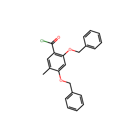 Cc1cc(C(=O)Cl)c(OCc2ccccc2)cc1OCc1ccccc1